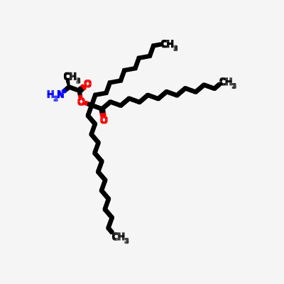 CCCCCCCCCCCCCCC(CCCCCCCCCC)(OC(=O)[C@H](C)N)C(=O)CCCCCCCCCCCCC